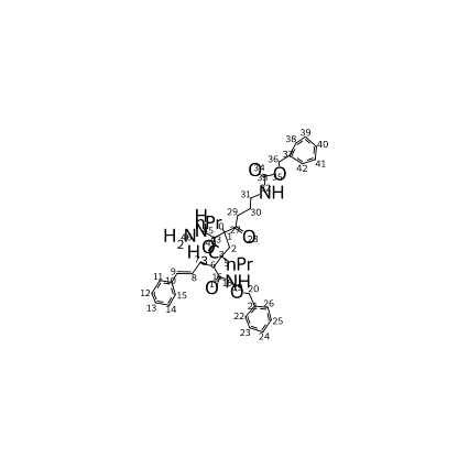 CCCC(C[C@](C)(CCC)[C@H](C/C=C/c1ccccc1)C(=O)NOCc1ccccc1)(C(=O)CCCNC(=O)OCc1ccccc1)C(=O)NN